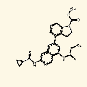 CC(C)(C)OC(=O)Nc1cc(-c2cncc3c2CCN3C(=O)OC(C)(C)C)cc2cc(NC(=O)C3CC3)ncc12